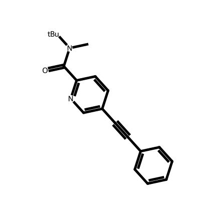 CN(C(=O)c1ccc(C#Cc2ccccc2)cn1)C(C)(C)C